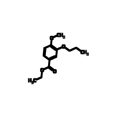 CCCOc1cc(C(=O)OCC)ccc1OC